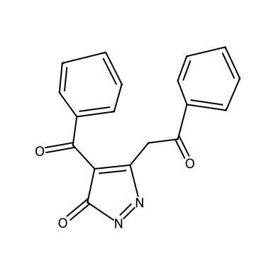 O=C1N=NC(CC(=O)c2ccccc2)=C1C(=O)c1ccccc1